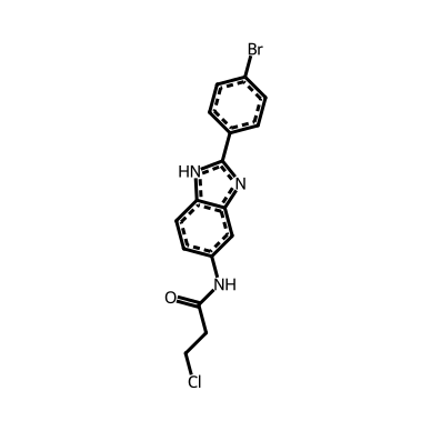 O=C(CCCl)Nc1ccc2[nH]c(-c3ccc(Br)cc3)nc2c1